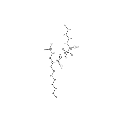 CCCCCCCCC(CCC(C)C)C(=O)OCC(C)(C)C(=O)CCCCC